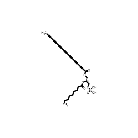 CC#CC#CC#CC#CC#CC#CC#CC(=O)OC[C@@H](COP(=O)(O)O)OC(=O)CCCCCCCC